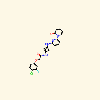 O=C(COc1ccc(Cl)c(F)c1)NC12CC(Nc3cccc(-n4ccccc4=O)n3)(C1)C2